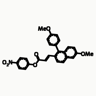 COc1ccc(-c2c(/C=C/C(=O)Oc3ccc([N+](=O)[O-])cc3)ccc3cc(OC)ccc23)cc1